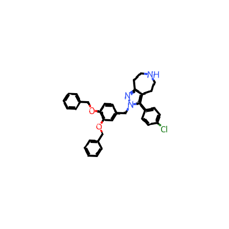 Clc1ccc(-c2c3c(nn2Cc2ccc(OCc4ccccc4)c(OCc4ccccc4)c2)CCNCC3)cc1